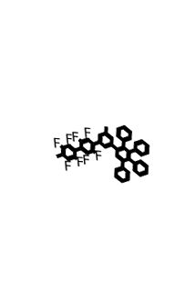 Cc1cc(-c2cc(-c3ccccc3)c(-c3ccccc3)c(-c3ccccc3)c2-c2ccccc2)cc(-c2c(F)c(F)c(-c3c(F)c(F)c(C)c(F)c3F)c(F)c2F)c1